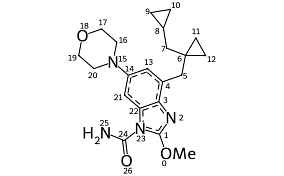 COc1nc2c(CC3(CC4CC4)CC3)cc(N3CCOCC3)cc2n1C(N)=O